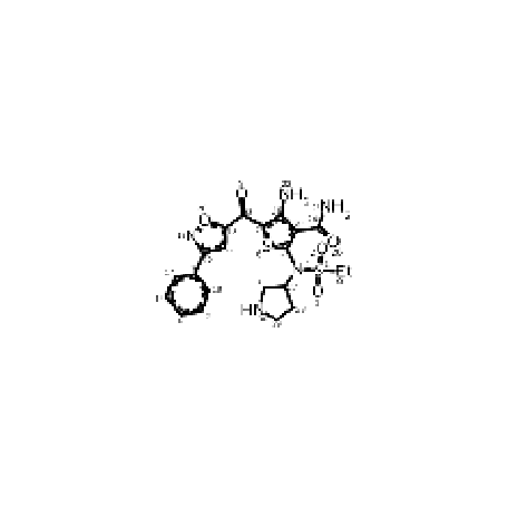 CCS(=O)(=O)N(c1sc(C(=O)c2cc(-c3ccccc3)no2)c(N)c1C(N)=O)C1CCNC1